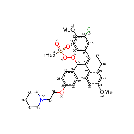 CCCCCCS(=O)(=O)OOC(C1=C(c2ccc(OC)c(Cl)c2)CCc2cc(OC)ccc21)c1ccc(OCCN2CCCCC2)cc1